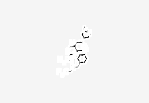 Cn1cc([C@H]2C[C@H]3CSC(N)=N[C@@]3(c3cc(CNCC(F)(F)F)ccc3F)CO2)cn1